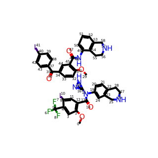 COc1cc(C(F)(F)F)c(I)cc1C(=O)N(C1=NN1)c1ccc2c(c1)CNCC2.COc1ccc(C(=O)c2ccc(I)cc2)cc1C(=O)Nc1cccc2c1CCNC2